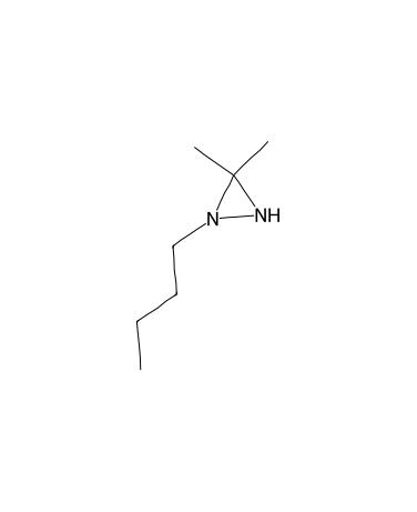 CCCCN1NC1(C)C